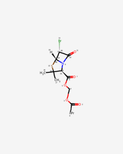 CCCC(=O)OCOC(=O)[C@@H]1N2C(=O)[C@@H](Br)[C@H]2SC1(C)C